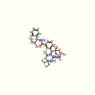 CCC1(CC)CC(=O)N(C2c3cc(C(=O)N[C@@H]4c5ccccc5OC[C@@H]4C)ccc3OC2(COC)COC)C(=N)N1